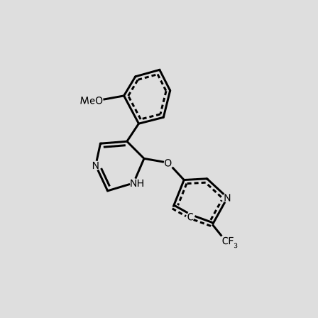 COc1ccccc1C1=CN=CNC1Oc1ccc(C(F)(F)F)nc1